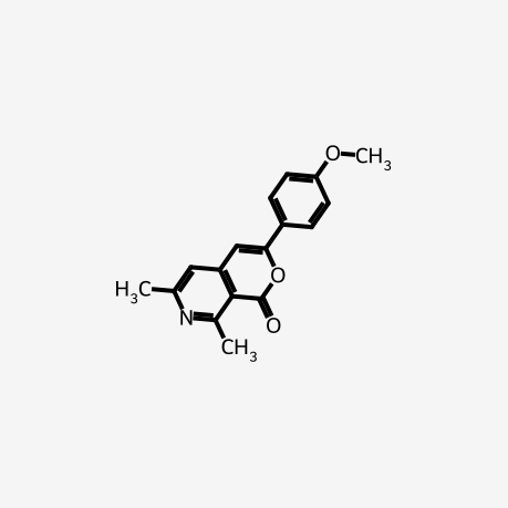 COc1ccc(-c2cc3cc(C)nc(C)c3c(=O)o2)cc1